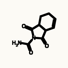 NC(=O)N1C(=O)C2C=CCCC2C1=O